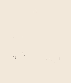 CCOC(=O)c1c(C)c(C(=O)C2CCOCC2)n2ncccc12